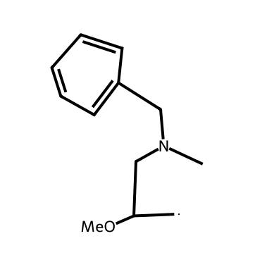 [CH2]C(CN(C)Cc1ccccc1)OC